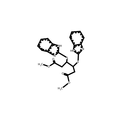 COC(=O)CC(Sc1nc2ccccc2[nH]1)C(CC(=O)OC)Sc1nc2ccccc2[nH]1